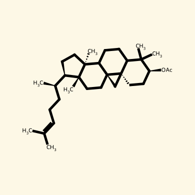 CC(=O)O[C@H]1CC[C@]23C[C@]24CC[C@]2(C)[C@@H]([C@H](C)CCC=C(C)C)CC[C@@]2(C)C4CCC3C1(C)C